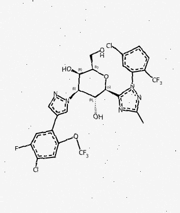 Cc1nc([C@@H]2O[C@H](CO)[C@H](O)[C@H](n3cc(-c4cc(F)c(Cl)cc4OC(F)(F)F)cn3)[C@H]2O)n(-c2cc(Cl)ccc2C(F)(F)F)n1